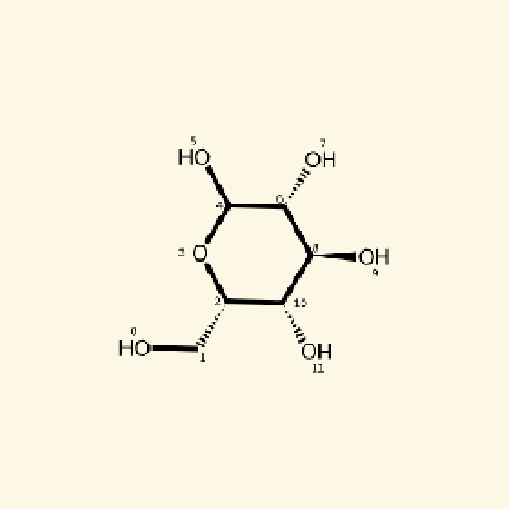 OC[C@@H]1OC(O)[C@H](O)[C@@H](O)[C@@H]1O